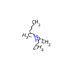 CCCCCC(C)CNCC(CC)CCCC